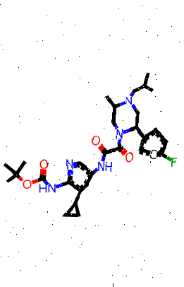 CC(C)CN1CC(c2ccc(F)cc2)N(C(=O)C(=O)Nc2cnc(NC(=O)OC(C)(C)C)c(C3CC3)c2)CC1C